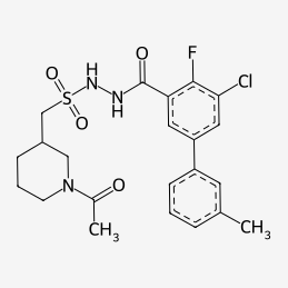 CC(=O)N1CCCC(CS(=O)(=O)NNC(=O)c2cc(-c3cccc(C)c3)cc(Cl)c2F)C1